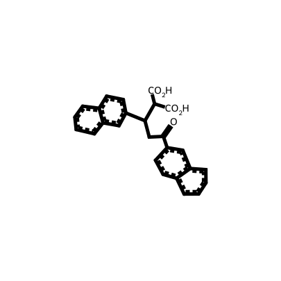 O=C(CC(c1ccc2ccccc2c1)C(C(=O)O)C(=O)O)c1ccc2ccccc2c1